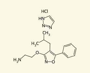 CC(C)Cc1c(OCCN)noc1-c1ccccc1.Cl.c1c[nH]nn1